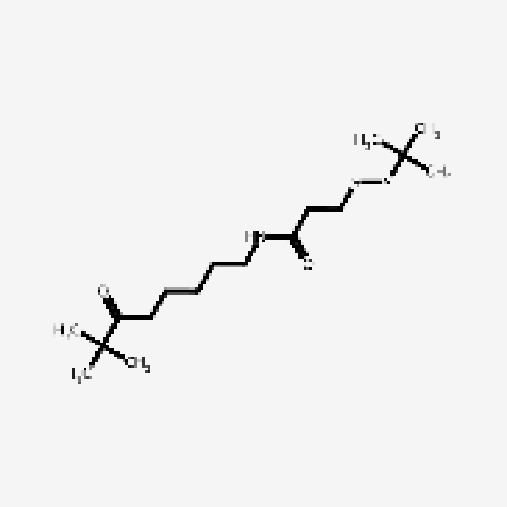 CC(C)(C)SSCCC(=O)NCCCCCC(=O)C(C)(C)C